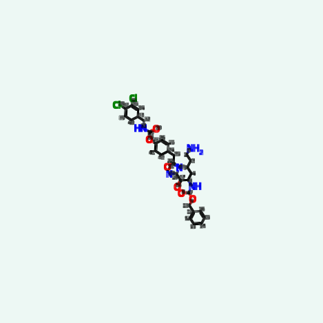 NCCCCC(NC(=O)OCc1ccccc1)C(=O)c1noc(CC2C=CC(OC(=O)NCC3C=C(Cl)C(Cl)=CC3)=CC2)n1